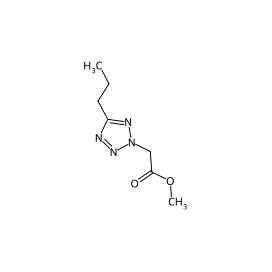 CCCc1nnn(CC(=O)OC)n1